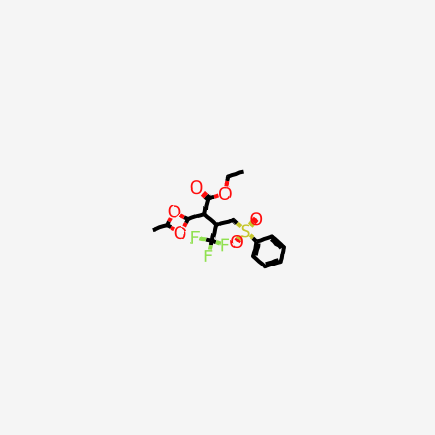 CCOC(=O)C(C1OC(C)O1)C(CS(=O)(=O)c1ccccc1)C(F)(F)F